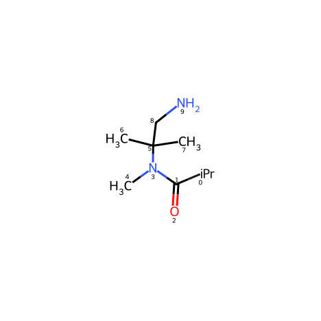 CC(C)C(=O)N(C)C(C)(C)CN